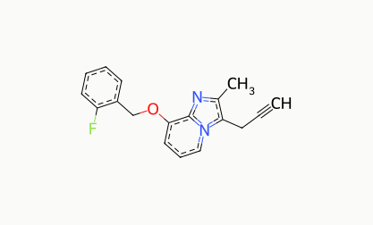 C#CCc1c(C)nc2c(OCc3ccccc3F)cccn12